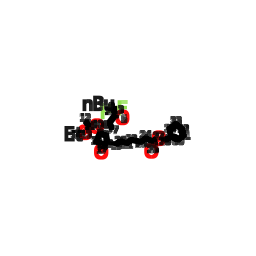 CCCCC(F)(F)C(=O)CC[C@H]1[C@H](OC(C)OCC)CC(=O)[C@@H]1CCCCCCC(=O)OCc1ccccc1